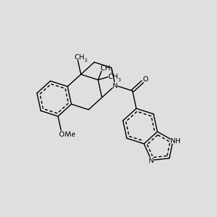 COc1cccc2c1CC1N(C(=O)c3ccc4nc[nH]c4c3)CCC2(C)C1(C)C